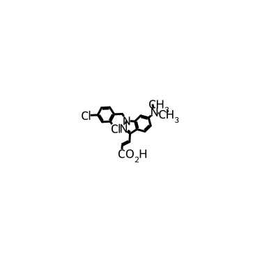 CN(C)c1ccc2c(/C=C/C(=O)O)nn(Cc3ccc(Cl)cc3Cl)c2c1